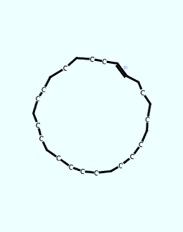 C1=C/CCCCCCCCCCCCCCCCCCCCCCCC/1